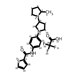 CC1CCCN1C1CCN(c2ccc(NC(=O)c3cccs3)cc2)C1.O=C(O)C(F)(F)F